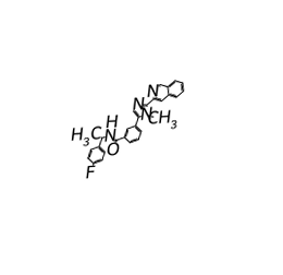 C[C@@H](NC(=O)c1cccc(-c2cnc(-c3cc4ccccc4cn3)n2C)c1)c1ccc(F)cc1